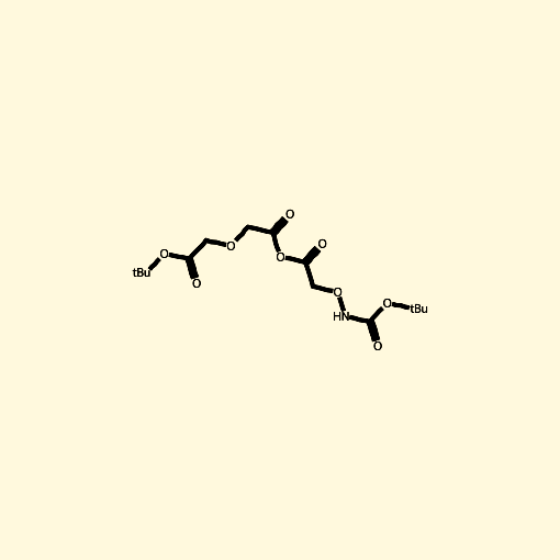 CC(C)(C)OC(=O)COCC(=O)OC(=O)CONC(=O)OC(C)(C)C